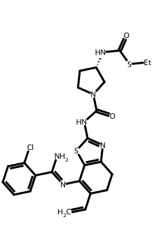 C=CC1=C(/N=C(\N)c2ccccc2Cl)c2sc(NC(=O)N3CC[C@H](NC(=O)SCC)C3)nc2CC1